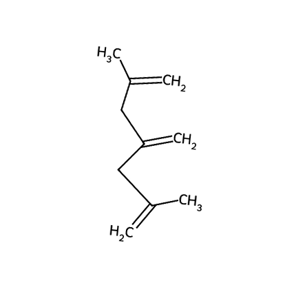 C=C(C)CC(=C)CC(=C)C